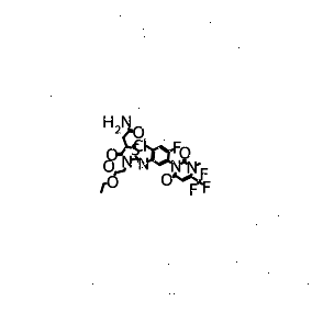 CCOC(=O)CN1C(=O)C(CC(N)=O)SC1=Nc1cc(-n2c(=O)cc(C(F)(F)F)n(C)c2=O)c(F)cc1Cl